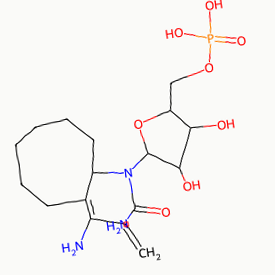 C=C/C(N)=C1/CCCCCCC1N(C(N)=O)C1OC(COP(=O)(O)O)C(O)C1O